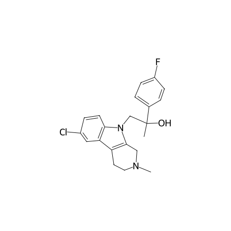 CN1CCc2c(n(CC(C)(O)c3ccc(F)cc3)c3ccc(Cl)cc23)C1